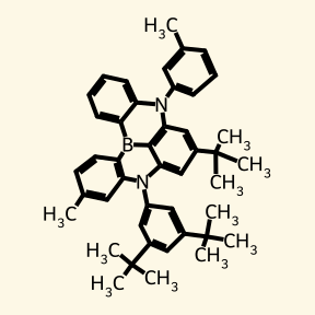 Cc1cccc(N2c3ccccc3B3c4ccc(C)cc4N(c4cc(C(C)(C)C)cc(C(C)(C)C)c4)c4cc(C(C)(C)C)cc2c43)c1